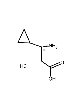 Cl.N[C@H](CC(=O)O)C1CC1